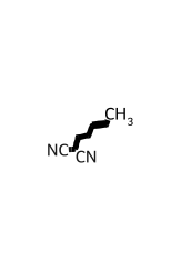 CC=CCCC(C#N)C#N